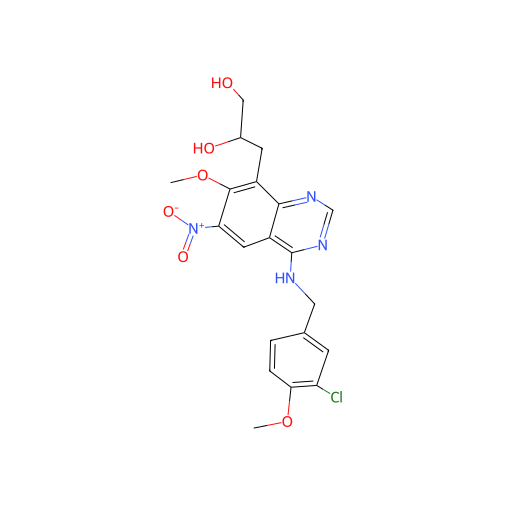 COc1ccc(CNc2ncnc3c(CC(O)CO)c(OC)c([N+](=O)[O-])cc23)cc1Cl